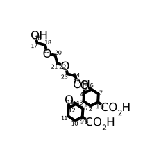 O=C(O)C1CCC2OC2C1.O=C(O)C1CCC2OC2C1.OCCOCCOCCO